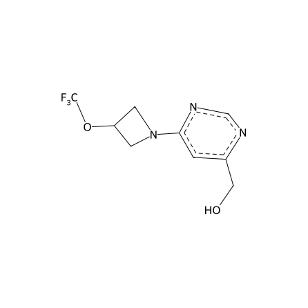 OCc1cc(N2CC(OC(F)(F)F)C2)ncn1